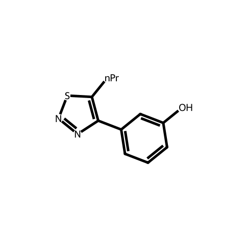 CCCc1snnc1-c1cccc(O)c1